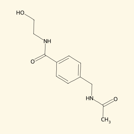 CC(=O)NCc1ccc(C(=O)NCCO)cc1